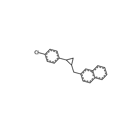 Clc1ccc(C2CC2Cc2ccc3ccccc3c2)cc1